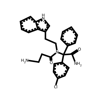 NCCC(=O)N(CCc1c[nH]c2ccccc12)C(C(N)=O)(c1ccccc1)c1ccc(Cl)cc1